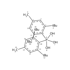 Cc1cc(C(C)(C)C)c(P(O)(O)(O)c2c(C(C)(C)C)cc(C)cc2C(C)(C)C)c(C(C)(C)C)c1